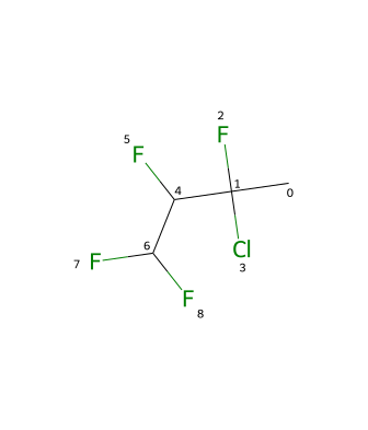 CC(F)(Cl)C(F)C(F)F